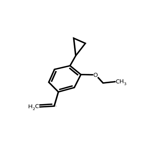 C=[C]c1ccc(C2CC2)c(OCC)c1